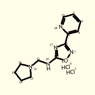 Cl.Cl.c1ccc(-c2noc(NCN3CCCC3)n2)nc1